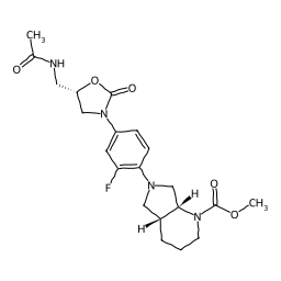 COC(=O)N1CCC[C@@H]2CN(c3ccc(N4C[C@H](CNC(C)=O)OC4=O)cc3F)C[C@@H]21